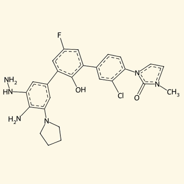 Cn1ccn(-c2ccc(-c3cc(F)cc(-c4cc(NN)c(N)c(N5CCCC5)c4)c3O)cc2Cl)c1=O